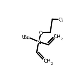 C=C[Si](C=C)(OCCCl)C(C)(C)C